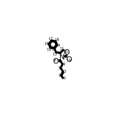 CC=CCCC(=O)N1C(=O)OCC1Cc1ccccc1